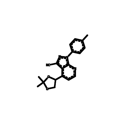 Cc1ccc(-n2nc(C#N)c3c(C4COC(C)(C)O4)ccnc32)cc1